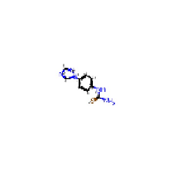 NC(=S)Nc1ccc(-n2cncn2)cc1